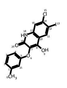 Cc1cccc(Oc2c(O)c3cc(I)c(Cl)cc3[nH]c2=O)c1